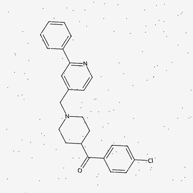 O=C(c1ccc(Cl)cc1)C1CCN(Cc2ccnc(-c3ccccc3)c2)CC1